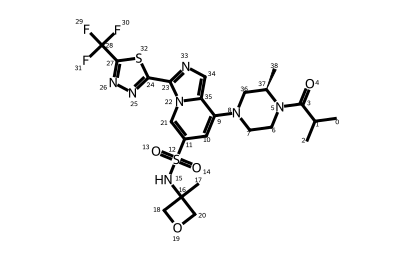 CC(C)C(=O)N1CCN(c2cc(S(=O)(=O)NC3(C)COC3)cn3c(-c4nnc(C(F)(F)F)s4)ncc23)C[C@H]1C